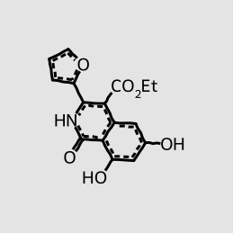 CCOC(=O)c1c(-c2ccco2)[nH]c(=O)c2c(O)cc(O)cc12